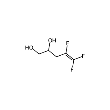 OCC(O)CC(F)=C(F)F